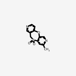 Cc1cc2c(cn1)Oc1ccncc1CS2(=O)=O